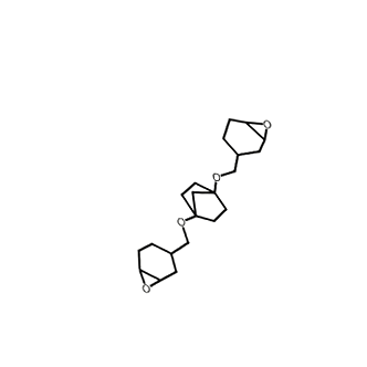 C1CC2OC2CC1COC12CCC(OCC3CCC4OC4C3)(CC1)C2